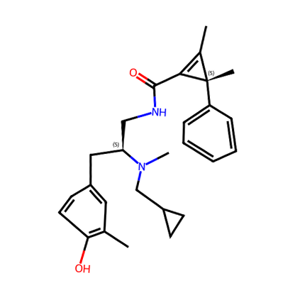 CC1=C(C(=O)NC[C@H](Cc2ccc(O)c(C)c2)N(C)CC2CC2)[C@@]1(C)c1ccccc1